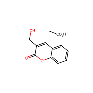 CC(=O)O.O=c1oc2ccccc2cc1CO